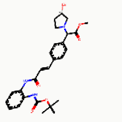 COC(=O)C(c1ccc(C=CC(=O)Nc2ccccc2NC(=O)OC(C)(C)C)cc1)N1CC[C@H](O)C1